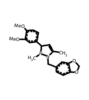 COc1ccc(C2C=C(C)N(Cc3ccc4c(c3)OCO4)N2C)cc1OC